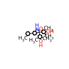 Cc1cccc(-c2ccc3c(c2)NC(=O)C3(c2cc(C)c(O)c(C)c2)c2cc(C)c(O)c(C)c2)c1